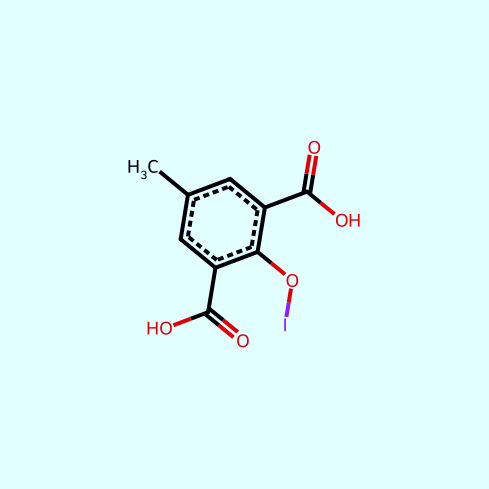 Cc1cc(C(=O)O)c(OI)c(C(=O)O)c1